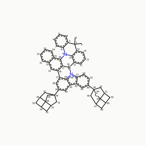 CC1(C)c2ccccc2N2c3c(cccc31)B1c3c(cc4ccccc4c32)-c2cc(C34CC5CC6CC(C3)C65C4)cc3c4cc(C56CC7CC8CC(C5)C87C6)ccc4n1c23